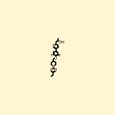 CCc1cnc(N2CCC(COc3c(F)cc(-c4ccc(CC(C)O)nc4)cc3F)CC2)nc1